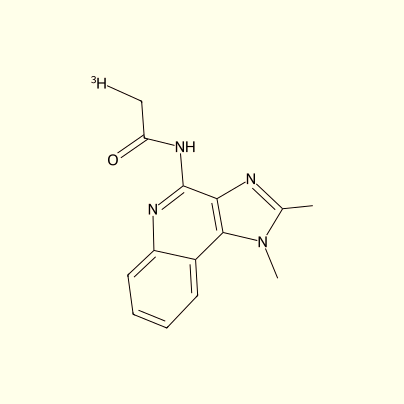 [3H]CC(=O)Nc1nc2ccccc2c2c1nc(C)n2C